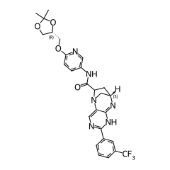 CC1(C)OC[C@@H](COc2ccc(NC(=O)C3C[C@H]4CN3C3=CN=C(c5cccc(C(F)(F)F)c5)NC3=N4)cn2)O1